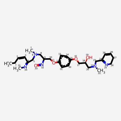 CC/C=C\C(CN(C)CC(COc1ccc(OC[C@@H](O)CN(C)CC2=NCCC=C2)cc1)N=O)=N/C